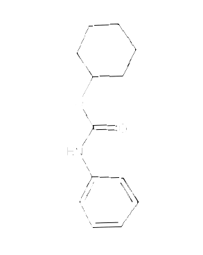 O=C(Nc1ccccc1)OC1CCCCC1